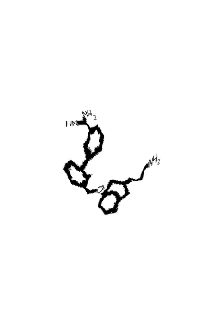 N=C(N)c1cccc(-c2cccc(COC34CCCC(CC(=CCCN)C3)C4)c2)c1